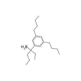 BC(CC)(CCC)c1cc(CCCC)cc(CCCC)c1